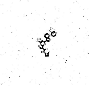 CNc1cc(-c2cnc3n([C@@H]4CCOC[C@H]4OC)cccc2-3)nc2c(C(=O)NC3CCC3F)cnn12